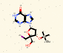 CC(C)(C)[Si](C)(C)O[C@H]1C[C@@H](n2cnc3c(=O)[nH]cnc32)O[C@@]1(CO)CI